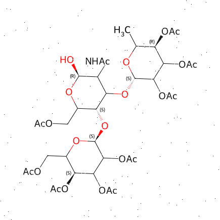 CC(=O)NC1C(O[C@@H]2OC(C)[C@@H](OC(C)=O)C(OC(C)=O)C2OC(C)=O)[C@H](O[C@@H]2OC(COC(C)=O)[C@H](OC(C)=O)C(OC(C)=O)C2OC(C)=O)C(COC(C)=O)O[C@H]1O